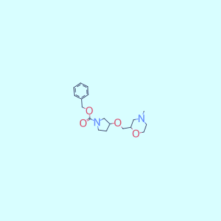 CN1CCOC(COC2CCN(C(=O)OCc3ccccc3)C2)C1